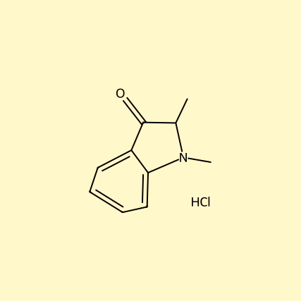 CC1C(=O)c2ccccc2N1C.Cl